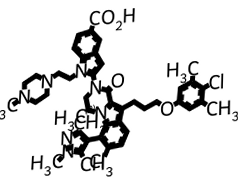 Cc1cc(OCCCc2c3n(c4c(-c5c(C)nn(C)c5C)c(Cl)ccc24)[C@H](C)CN(c2cc4cc(C(=O)O)ccc4n2CCN2CCN(C)CC2)C3=O)cc(C)c1Cl